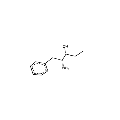 CC[C@@H](O)[C@H](N)Cc1ccccc1